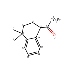 CCOC(=O)C(=O)C1CCC(C)(C)c2ccccc21